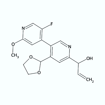 C=CC(O)c1cc(C2OCCO2)c(-c2cc(OC)ncc2F)cn1